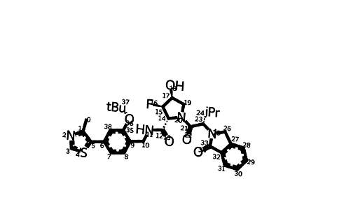 Cc1ncsc1-c1ccc(CNC(=O)[C@@H]2[C@@H](F)[C@@H](O)CN2C(=O)[C@H](C(C)C)N2Cc3ccccc3C2=O)c(OC(C)(C)C)c1